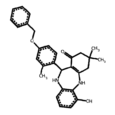 Cc1cc(OCc2ccccc2)ccc1C1Nc2cccc(O)c2NC2=C1C(=O)CC(C)(C)C2